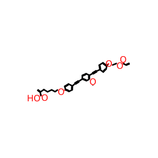 C=CC(=O)OCCOc1ccc(C#Cc2ccc(C#Cc3ccc(OCCCCCC(=C)C(=O)O)cc3)cc2OC)cc1